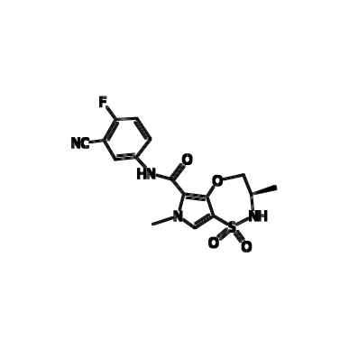 C[C@@H]1COc2c(cn(C)c2C(=O)Nc2ccc(F)c(C#N)c2)S(=O)(=O)N1